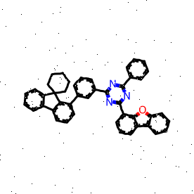 c1ccc(-c2nc(-c3cccc(-c4cccc5c4C4(CCCCC4)c4ccccc4-5)c3)nc(-c3cccc4c3oc3ccccc34)n2)cc1